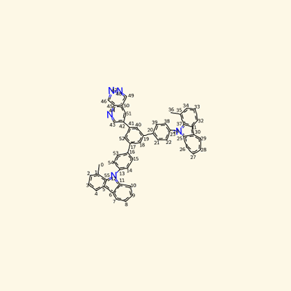 Cc1cccc2c3ccccc3n(-c3ccc(-c4cc(-c5ccc(-n6c7ccccc7c7cccc(C)c76)cc5)cc(-c5cnc6cnncc6c5)c4)cc3)c12